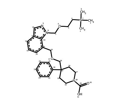 C[Si](C)(C)CCOCn1ncc2cccc(COCC3(c4ccccc4)CCN(C(=O)O)CC3)c21